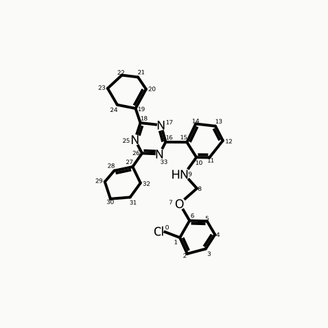 Clc1ccccc1OCNc1ccccc1-c1nc(C2=CCCCC2)nc(C2=CCCCC2)n1